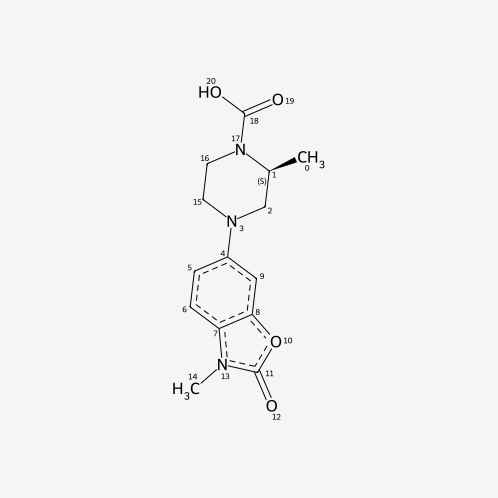 C[C@H]1CN(c2ccc3c(c2)oc(=O)n3C)CCN1C(=O)O